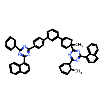 CC1C=CC=CC1c1nc(-c2cccc3ccccc23)nc(C2(C)C=CC(c3cccc(-c4ccc(-c5nc(-c6ccccc6)nc(-c6cccc7ccccc67)n5)cc4)c3)=CC2)n1